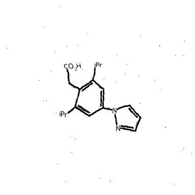 CC(C)c1cc(-n2cccn2)cc(C(C)C)c1CC(=O)O